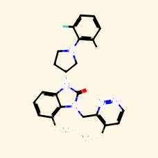 COc1ccnnc1Cn1c(=O)n([C@@H]2CCN(c3c(C)cccc3F)C2)c2cccc(OC)c21